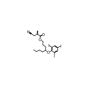 C=C(CC#N)C(=O)OCCCC(CCCC)Oc1c(I)cc(I)cc1I